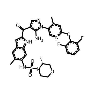 Cc1cc2cc(C(=O)c3cnn(-c4cnc(Oc5c(F)cccc5F)cc4C)c3N)[nH]c2cc1NS(=O)(=O)N1CCOC[C@H]1C